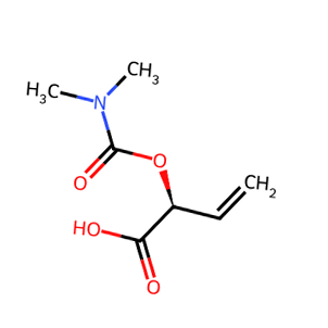 C=C[C@H](OC(=O)N(C)C)C(=O)O